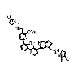 COc1nc(-c2cccc(-c3cccc(-c4cn5c(CNC[C@H]6CCC(=O)N6)cnc5cn4)c3Cl)c2Cl)ccc1CNC[C@@H]1CCC(=O)N1